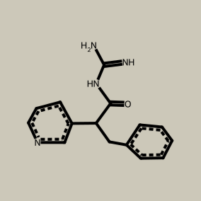 N=C(N)NC(=O)C(Cc1ccccc1)c1cccnc1